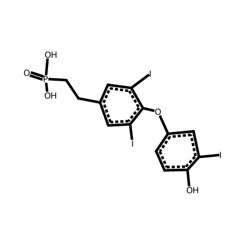 O=P(O)(O)CCc1cc(I)c(Oc2ccc(O)c(I)c2)c(I)c1